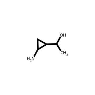 CC(O)C1CC1N